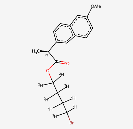 [2H]C([2H])(Br)C([2H])([2H])C([2H])([2H])C([2H])([2H])OC(=O)[C@@H](C)c1ccc2cc(OC)ccc2c1